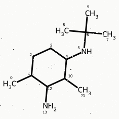 CC1CCC(NC(C)(C)C)C(C)C1N